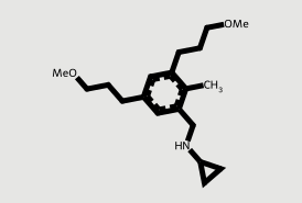 COCCCc1cc(CCCOC)c(C)c(CNC2CC2)c1